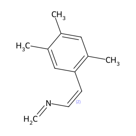 C=N/C=C\c1cc(C)c(C)cc1C